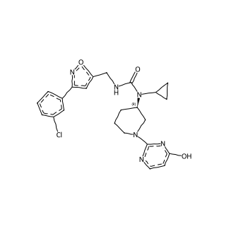 O=C(NCc1cc(-c2cccc(Cl)c2)no1)N(C1CC1)[C@@H]1CCCN(c2nccc(O)n2)C1